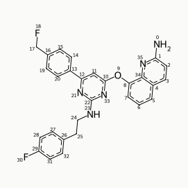 Nc1ccc2cccc(Oc3cc(-c4ccc(CF)cc4)nc(NCCc4ccc(F)cc4)n3)c2n1